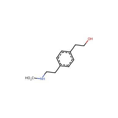 O=C(O)NCCc1ccc(CCO)cc1